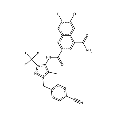 COc1cc2c(C(N)=O)cc(C(=O)Nc3c(C(F)(F)F)nn(Cc4ccc(C#N)cc4)c3C)nc2cc1F